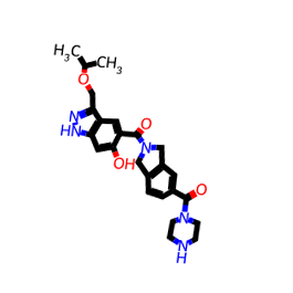 CC(C)OCc1n[nH]c2cc(O)c(C(=O)N3Cc4ccc(C(=O)N5CCNCC5)cc4C3)cc12